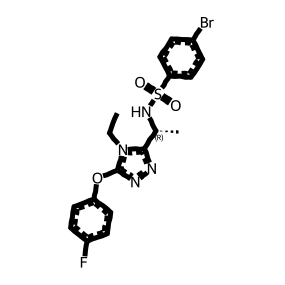 CCn1c(Oc2ccc(F)cc2)nnc1[C@@H](C)NS(=O)(=O)c1ccc(Br)cc1